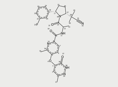 Cc1cc(Oc2ccc(C(=O)NC(C)C(=O)N3[C@H](c4cccc(F)c4)CC[C@@H]3C(C)(C)C#N)nc2C)c(=O)[nH]n1